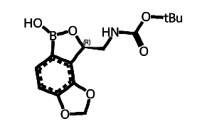 CC(C)(C)OC(=O)NC[C@@H]1OB(O)c2ccc3c(c21)OCO3